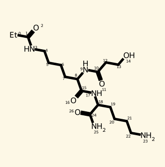 CCC(=O)NCCCCC(NC(=O)CCO)C(=O)NC(CCCCN)C(N)=O